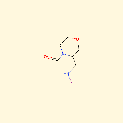 O=CN1CCOCC1CNI